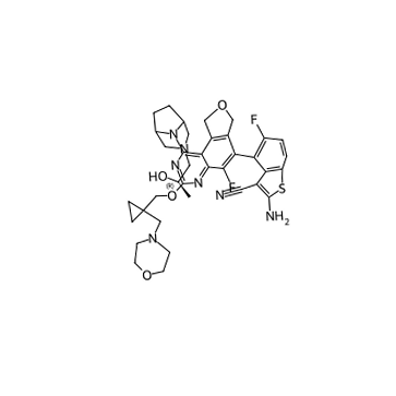 C[C@@H](O)CN1CC2CCC(C1)N2c1nc(OCC2(CN3CCOCC3)CC2)nc2c(F)c(-c3c(F)ccc4sc(N)c(C#N)c34)c3c(c12)COC3